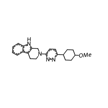 COC1CCC(c2ccc(N3CCc4c([nH]c5ccccc45)C3)nn2)CC1